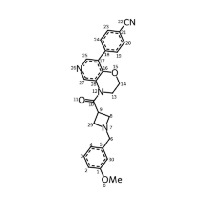 COc1cccc(CN2CC(C(=O)N3CCOc4c(-c5ccc(C#N)cc5)cncc43)C2)c1